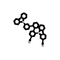 N#Cc1ccc(-c2ccccc2-c2cccc(-n3c4ccccc4c4ccccc43)c2)c(-n2c3ccccc3c3ccc(C#N)cc32)c1